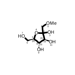 COCC1(O)O[C@H](CO)[C@@H](O)[C@@H]1O